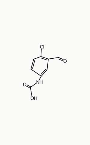 O=Cc1cc(NC(=O)O)ccc1Cl